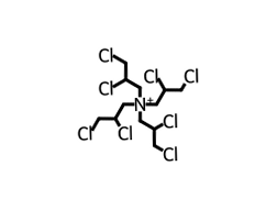 ClCC(Cl)C[N+](CC(Cl)CCl)(CC(Cl)CCl)CC(Cl)CCl